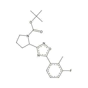 Cc1c(F)cccc1-c1nc(C2CCCN2C(=O)OC(C)(C)C)no1